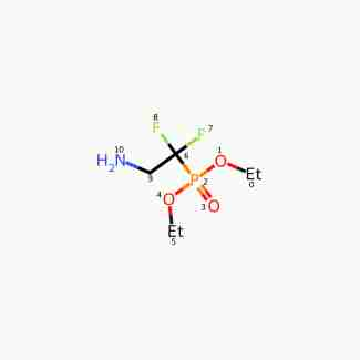 CCOP(=O)(OCC)C(F)(F)CN